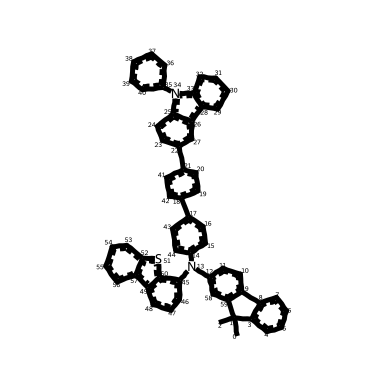 CC1(C)c2ccccc2-c2ccc(N(c3ccc(-c4ccc(-c5ccc6c(c5)c5ccccc5n6-c5ccccc5)cc4)cc3)c3cccc4c3sc3ccccc34)cc21